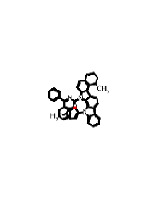 CC1C=CC(n2c3ccccc3c3ccc4c(c32)N(c2nc3c(c(-c5ccccc5)n2)CCC=C3)C2C=CC3=C(C(C)CC=C3)C42)=CC1